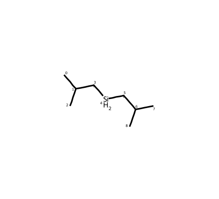 CC(C)[CH][SiH2][CH]C(C)C